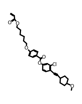 C=CC(=O)OCCCCCCOc1ccc(C(=O)Oc2ccc(C#CC3CCC(OC)CC3)c(Cl)c2)cc1